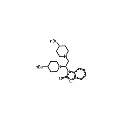 CCCCC1CCN(CC(N2CCC(CCCC)CC2)n2c(=O)oc3ccccc32)CC1